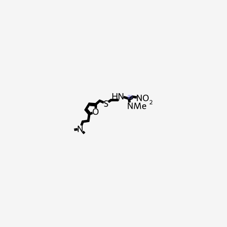 CN/C(=C\[N+](=O)[O-])NCCSCc1ccc(CCN(C)C)o1